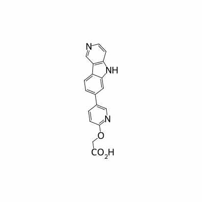 O=C(O)COc1ccc(-c2ccc3c(c2)[nH]c2ccncc23)cn1